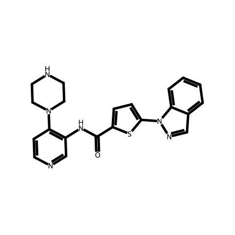 O=C(Nc1cnccc1N1CCNCC1)c1ccc(-n2ncc3ccccc32)s1